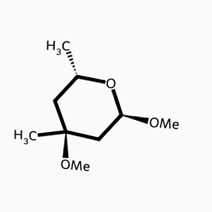 CO[C@H]1C[C@@](C)(OC)C[C@H](C)O1